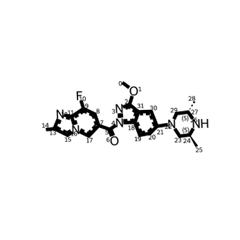 COc1nn(C(=O)c2cc(F)c3nc(C)cn3c2)c2ccc(N3C[C@H](C)N[C@@H](C)C3)cc12